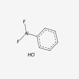 Cl.[F][Al]([F])[c]1ccccc1